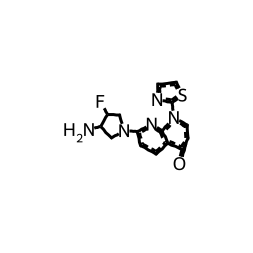 NC1CN(c2ccc3c(=O)ccn(-c4nccs4)c3n2)CC1F